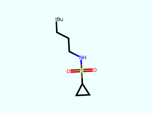 CC(C)(C)CCCNS(=O)(=O)C1CC1